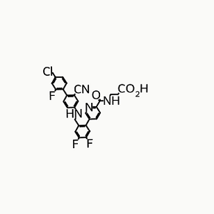 N#Cc1cc(NCc2cc(F)c(F)cc2-c2ccc(C(=O)NCCC(=O)O)nc2)ccc1-c1ccc(Cl)cc1F